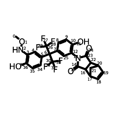 CONc1cc(C(c2ccc(O)c(N3C(=O)C4C5C=CC(C5)C4C3=O)c2)(C(F)(F)F)C(F)(F)F)ccc1O